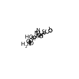 Cc1cccc(Cc2cc(C(=O)c3cncnc3N[C@@H]3C[C@H](COS(N)(=O)=O)[C@@H](O)C3)sc2C)c1